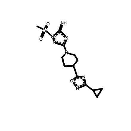 CS(=O)(=O)n1nc(N2CCC(c3nc(C4CC4)no3)CC2)sc1=N